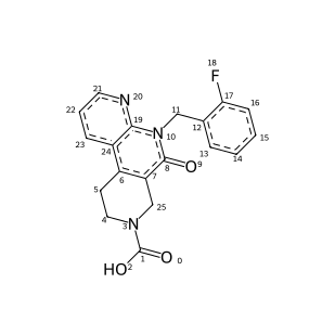 O=C(O)N1CCc2c(c(=O)n(Cc3ccccc3F)c3ncccc23)C1